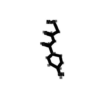 COCC(=O)CC(=O)N1CCC(O)CC1